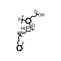 CN(C[C@H](O)CNC(C)(C)CCCc1ccccc1F)S(=O)(=O)c1cc(CCC(=O)O)cc(C(F)(F)F)c1